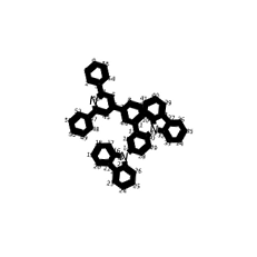 c1ccc(-c2cc(-c3cccc(-c4cc(-n5c6ccccc6c6ccccc65)ccc4-n4c5ccccc5c5ccccc54)c3)cc(-c3ccccc3)n2)cc1